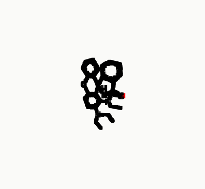 CCN(CC)c1ccc2c(c1N(CC)CC)C1(NC(=O)c3ccccc31)c1ccccc1O2